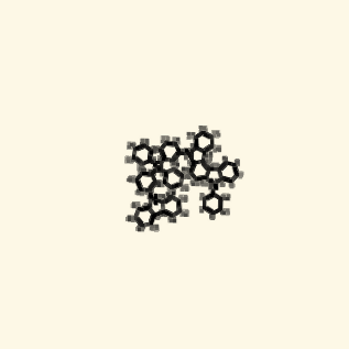 c1ccc(-n2c3ccccc3c3c4c5ccccc5n(-c5cccc([Si](c6ccccc6)(c6ccccc6)c6cccc(-n7c8ccccc8c8ccccc87)c6)c5)c4ccc32)cc1